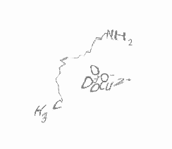 CCCCCCCC/C=C\CCCCCCCCN.O=C([O-])C(=O)[O-].[Cu+2]